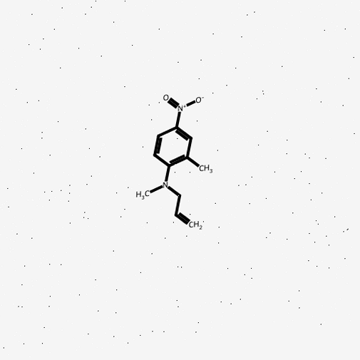 C=CCN(C)c1ccc([N+](=O)[O-])cc1C